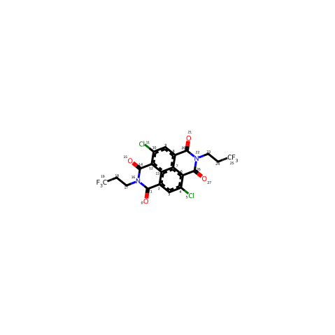 O=C1c2cc(Cl)c3c4c(cc(Cl)c(c24)C(=O)N1CCC(F)(F)F)C(=O)N(CCC(F)(F)F)C3=O